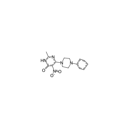 Cc1nc(N2CCN(c3ccccc3)CC2)c([N+](=O)[O-])c(=O)[nH]1